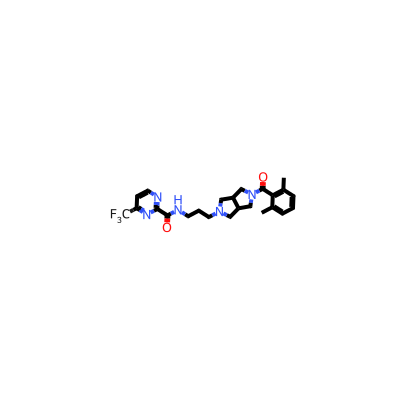 Cc1cccc(C)c1C(=O)N1CC2CN(CCCNC(=O)c3nccc(C(F)(F)F)n3)CC2C1